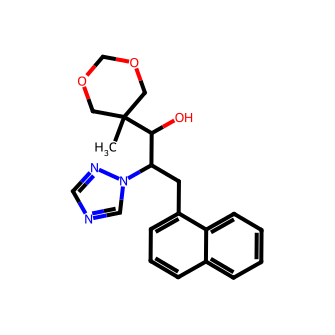 CC1(C(O)C(Cc2cccc3ccccc23)n2cncn2)COCOC1